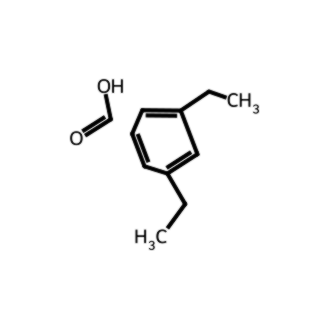 CCc1cccc(CC)c1.O=CO